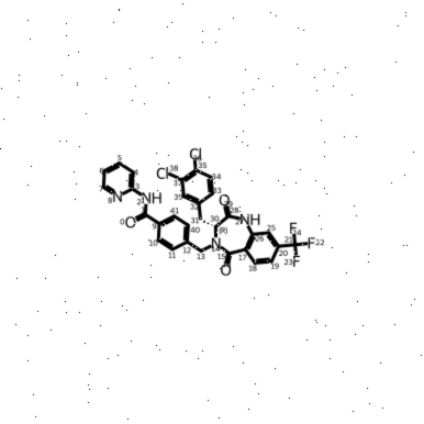 O=C(Nc1ccccn1)c1ccc(CN2C(=O)c3ccc(C(F)(F)F)cc3NC(=O)[C@H]2Cc2ccc(Cl)c(Cl)c2)cc1